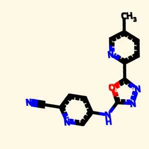 Cc1ccc(-c2nnc(Nc3ccc(C#N)nc3)o2)nc1